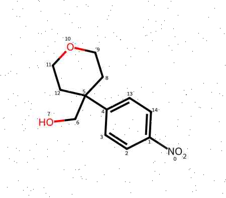 O=[N+]([O-])c1ccc(C2(CO)CCOCC2)cc1